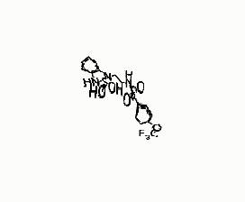 O=S(=O)(NCCN1c2ccccc2NS1(O)O)c1ccc(OC(F)(F)F)cc1